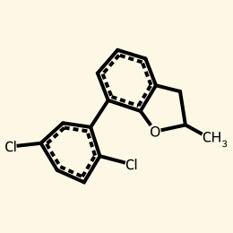 CC1Cc2cccc(-c3cc(Cl)ccc3Cl)c2O1